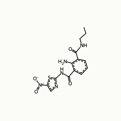 CCCNC(=O)c1cccc(C(=O)Nc2ncc([N+](=O)[O-])s2)c1N